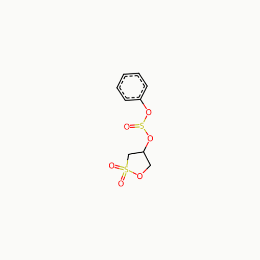 O=S(Oc1ccccc1)OC1COS(=O)(=O)C1